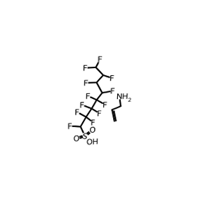 C=CCN.O=S(=O)(O)C(F)C(F)(F)C(F)(F)C(F)(F)C(F)C(F)C(F)C(F)F